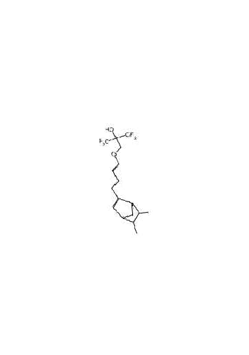 CC1C2CC(CCCCOCC(O)(C(F)(F)F)C(F)(F)F)C(C2)C1C